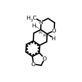 CN1CCO[C@@H]2Cc3c(ccc4c3OCO4)C[C@H]21